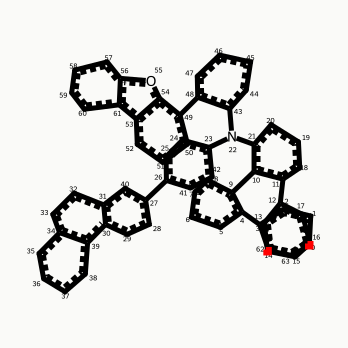 c1ccc(-c2ccccc2-c2c(-c3ccccc3)cccc2N(c2ccc(-c3ccc4c(ccc5ccccc54)c3)cc2)c2ccccc2-c2cccc3c2oc2ccccc23)cc1